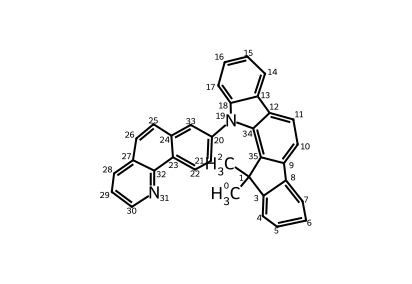 CC1(C)c2ccccc2-c2ccc3c4ccccc4n(-c4ccc5c(ccc6cccnc65)c4)c3c21